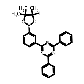 CC1(C)OB(c2cccc(-c3nc(-c4ccccc4)nc(-c4ccccc4)n3)c2)OC1(C)I